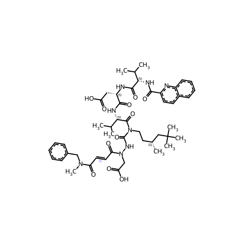 CC(C)[C@H](NC(=O)c1ccc2ccccc2n1)C(=O)N[C@@H](CC(=O)O)C(=O)N[C@H](C(=O)N(CC[C@@H](C)CC(C)(C)C)C(=O)NN(CC(=O)O)C(=O)/C=C/C(=O)N(C)Cc1ccccc1)C(C)C